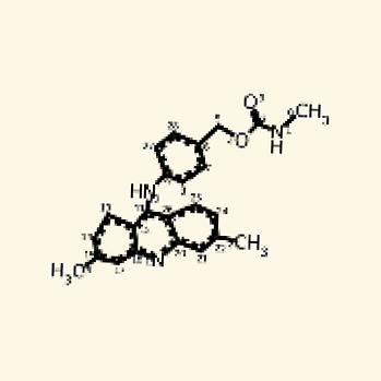 CNC(=O)OCc1ccc(Nc2c3ccc(C)cc3nc3cc(C)ccc23)cc1